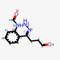 N/N=C(/CCC=O)c1ccccc1NC=O